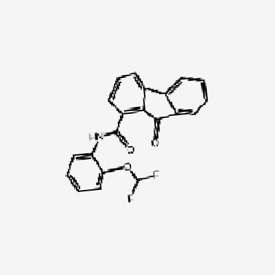 O=C(Nc1ccccc1OC(F)F)c1cccc2c1C(=O)c1ccccc1-2